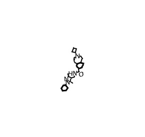 CC1=NN(c2ccccc2)C(C)C1CNC(=O)c1ccc2c(c1)CCN(C1CCC1)CC2